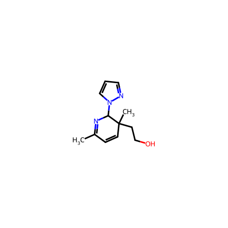 CC1=NC(n2cccn2)C(C)(CCO)C=C1